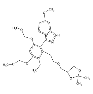 CCc1c(OCOC)cc(OCOC)c(-c2n[nH]c3cc(OC)ccc23)c1CCOCC1COC(C)(C)O1